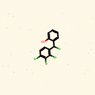 Oc1ccccc1C(Br)c1ccc(Br)c(Br)c1Br